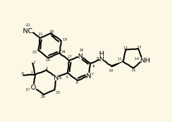 CC1(C)CN(c2cnc(NC[C@H]3CCNC3)nc2-c2ccc(C#N)cc2)CCO1